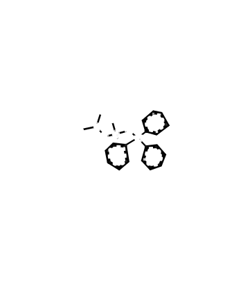 C[Si](C)O[Si](C)(C)O[Si](c1ccccc1)(c1ccccc1)c1ccccc1